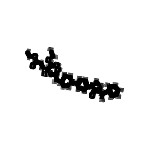 CCOC(=O)CC[C@H](NC(=O)CC1CCN(c2ccc(-n3cnn(C(C)c4ccccc4)c3=O)cc2)CC1)C(=O)OCC